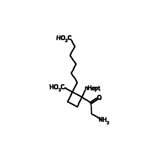 CCCCCCCC1(C(=O)CN)CCC1(CCCCCC(=O)O)C(=O)O